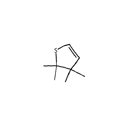 CC1(C)C=CSC1(C)C